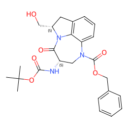 CC(C)(C)OC(=O)N[C@H]1CN(C(=O)OCc2ccccc2)c2cccc3c2N(C1=O)[C@H](CO)C3